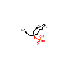 C#CCC(CC#C)(CCCC)OP(=O)(O)O